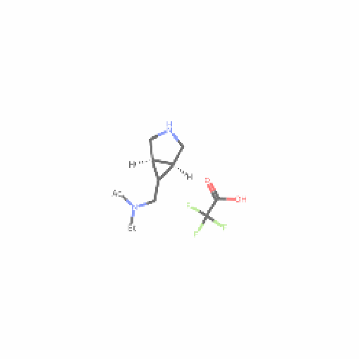 CCN(CC1[C@H]2CNC[C@@H]12)C(C)=O.O=C(O)C(F)(F)F